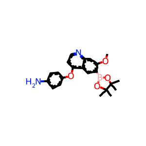 COc1cc2nccc(Oc3ccc(N)cc3)c2cc1B1OC(C)(C)C(C)(C)O1